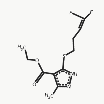 CCOC(=O)c1c(C)n[nH]c1SCCC=C(F)F